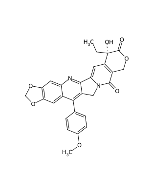 CC[C@@]1(O)C(=O)OCc2c1cc1n(c2=O)Cc2c-1nc1cc3c(cc1c2-c1ccc(OC)cc1)OCO3